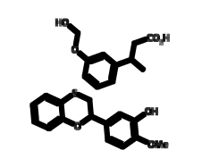 CC(CC(=O)O)c1cccc(OCO)c1.COc1ccc(C2CSc3ccccc3O2)cc1O